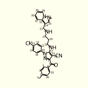 Cc1ccc(C(=O)c2nn(-c3ccc(Cl)cc3)c(NCCCNCc3cnn4ccccc34)c2C#N)cc1